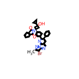 Cc1nn2c(ncc3cc(-c4ccccc4)c(-c4ccc([C@]5(N6C(=O)c7ccccc7C6=O)C[C@@](O)(C6CC6)C5)cc4)nc32)c1Br